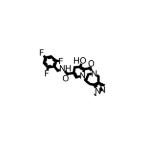 Cn1ncc2c1CC1CN(C2)C(=O)C2=C(O)CC(C(=O)NCc3c(F)cc(F)cc3F)=CN21